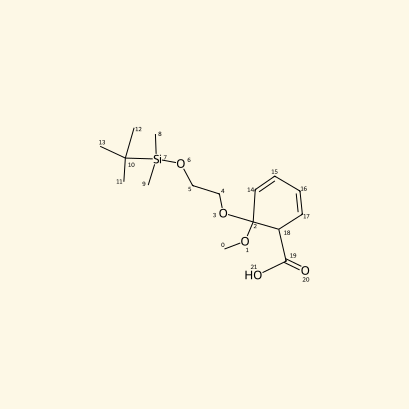 COC1(OCCO[Si](C)(C)C(C)(C)C)C=CC=CC1C(=O)O